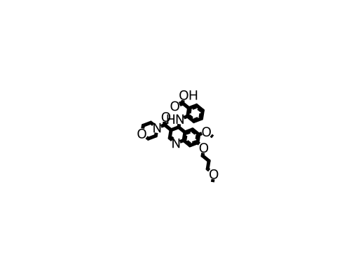 COCCCOc1cc2c(cc1OC)C(Nc1ccccc1C(=O)O)C(C(=O)N1CCOCC1)C=N2